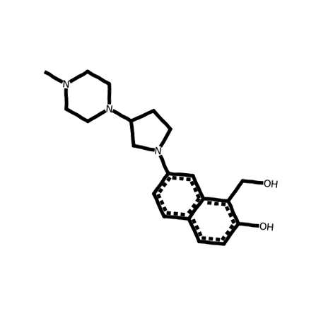 CN1CCN(C2CCN(c3ccc4ccc(O)c(CO)c4c3)C2)CC1